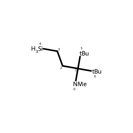 CNC(CC[SiH3])(C(C)(C)C)C(C)(C)C